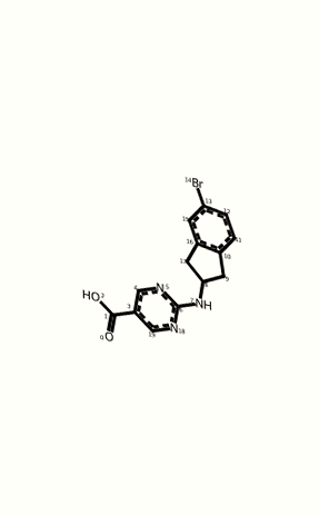 O=C(O)c1cnc(NC2Cc3ccc(Br)cc3C2)nc1